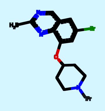 Bc1ncc2cc(Br)cc(OC3CCN(C(C)C)CC3)c2n1